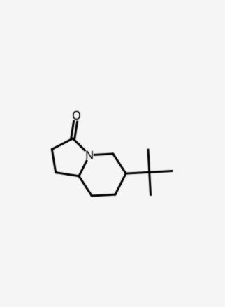 CC(C)(C)C1CCC2CCC(=O)N2C1